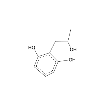 CC(O)Cc1c(O)cccc1O